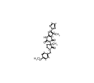 COc1ccc(CN2CC[C@](C)(n3c(=O)[nH]c4sc(-n5nccn5)c(C)c4c3=O)C2=O)cc1